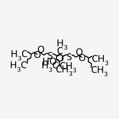 CCCCC(CC)COC(=O)CCSCc1cc(C(C)(C)C)c(O)c(CSCCC(=O)OCC(CC)CCCC)c1C